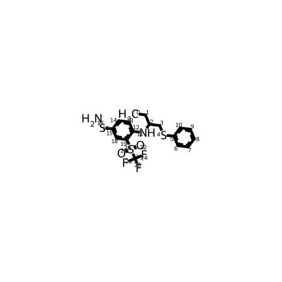 CCC(CSc1ccccc1)Nc1ccc(SN)cc1S(=O)(=O)C(F)(F)F